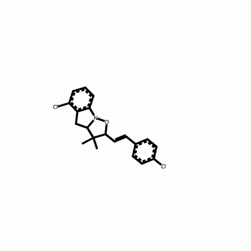 CC1(C)C(C=Cc2ccc(Cl)cc2)ON2c3cccc(Cl)c3CC21